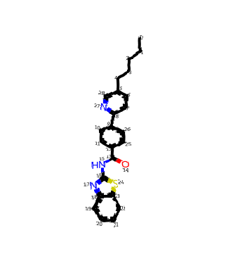 CCCCCc1ccc(-c2ccc(C(=O)Nc3nc4ccccc4s3)cc2)nc1